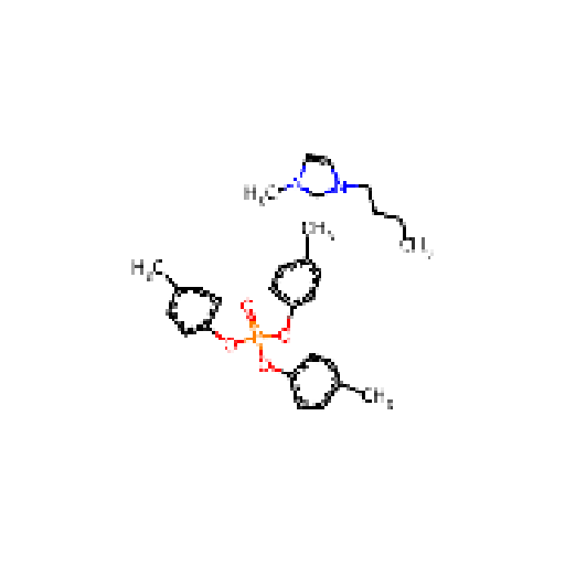 CCCCN1C=CN(C)C1.Cc1ccc(OP(=O)(Oc2ccc(C)cc2)Oc2ccc(C)cc2)cc1